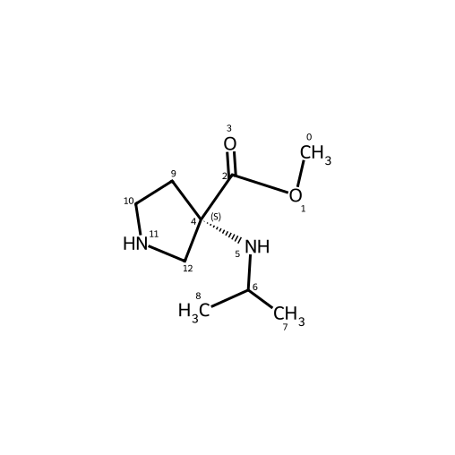 COC(=O)[C@]1(NC(C)C)CCNC1